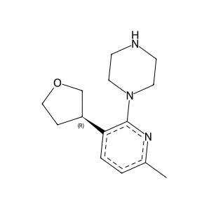 Cc1ccc([C@H]2CCOC2)c(N2CCNCC2)n1